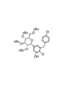 CCCCOC[C@H]1O[C@@H](c2cc(O)c(Cl)c(Cc3ccc(CC)cc3)c2)[C@H](OCCCC)[C@@H](OCCCC)[C@@H]1OCCCC